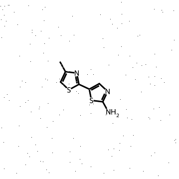 Cc1csc(-c2cnc(N)s2)n1